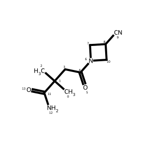 CC(C)([CH]C(=O)N1CC(C#N)C1)C(N)=O